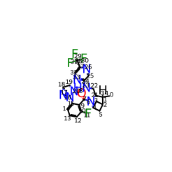 C[C@@H]1C2CC(C2)N(C(=O)c2c(F)cccc2-n2nccn2)C1CNc1cnc(C(F)(F)F)cn1